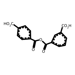 O=C(O)c1ccc(C(=O)OC(=O)c2cccc(C(=O)O)c2)cc1